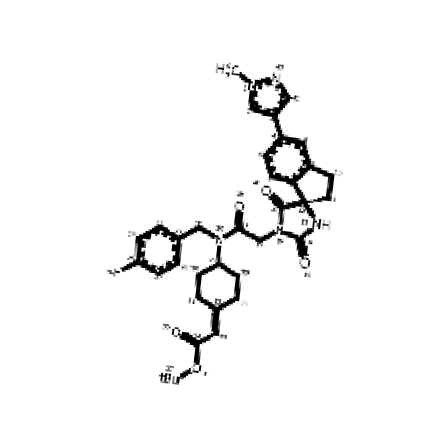 Cn1cc(-c2ccc3c(c2)CC[C@]32NC(=O)N(CC(=O)N(Cc3ccc(F)cc3)C3CCC(=CC(=O)OC(C)(C)C)CC3)C2=O)cn1